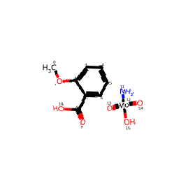 COc1ccccc1C(=O)O.[NH2][Mo](=[O])(=[O])[OH]